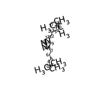 CC(C)(C)CCCCc1cn(CCCCC(C)(C)C)nn1